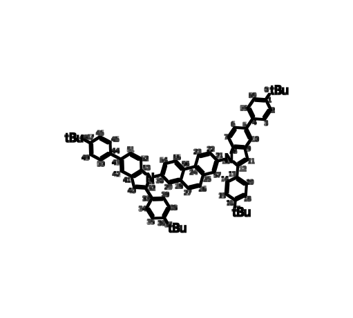 CC(C)(C)c1ccc(-c2ccc3c(c2)cc(-c2ccc(C(C)(C)C)cc2)n3-c2ccc3c(ccc4cc(-n5c(-c6ccc(C(C)(C)C)cc6)cc6cc(-c7ccc(C(C)(C)C)cc7)ccc65)ccc43)c2)cc1